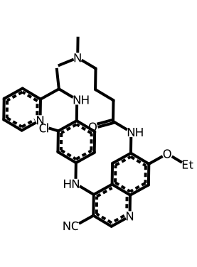 CCOc1cc2ncc(C#N)c(Nc3ccc(NC(C)c4ccccn4)c(Cl)c3)c2cc1NC(=O)CCCN(C)C